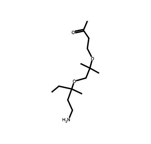 CCC(C)(CCN)OCC(C)(C)OCCC(C)=O